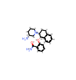 NC(=O)c1ccccc1O[C@H]1c2ccccc2CC[C@@H]1N1CCC[C@@H](N)C1